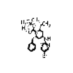 CC[C@@H]1C[C@H](Nc2ncc(Br)cn2)C[C@H](Cc2ccccc2)N1C(=O)OC(C)(C)C